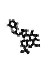 CC1=C(C(=O)O)C(c2cccc([N+](=O)[O-])c2)C(c2nc(CN(C)Cc3ccccc3)ns2)=C(C)N1